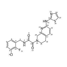 O=C(NCc1cccc(Cl)c1F)C(=O)N1CCc2ccc(Nc3nccs3)nc2C1